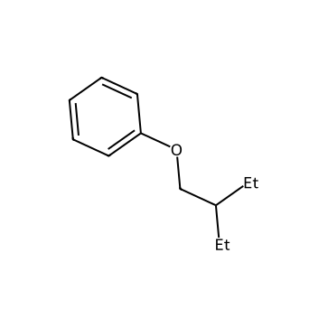 CCC(CC)COc1ccccc1